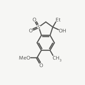 CCC1(O)CS(=O)(=O)c2cc(C(=O)OC)c(C)cc21